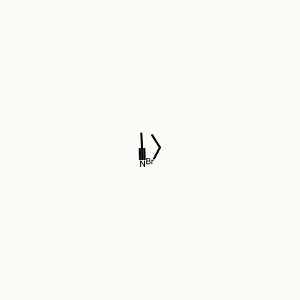 CC#N.CCBr